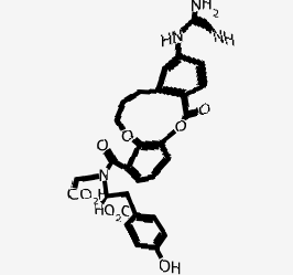 N=C(N)Nc1ccc2c(c1)CCCOc1c(cccc1C(=O)N(CC(=O)O)[C@@H](Cc1ccc(O)cc1)C(=O)O)OC2=O